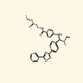 CCOC(=O)CCNC(=O)c1ccc(NC(c2ccc(-c3noc(-c4ccccc4)n3)cc2)C(C)CC)cc1